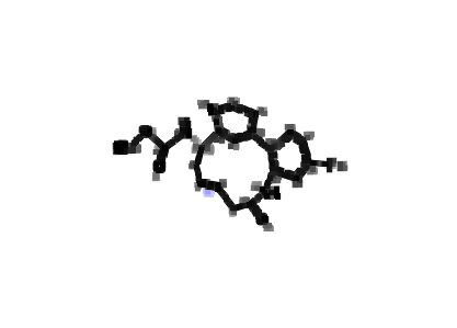 CC(C)(C)OC(=O)N[C@H]1C/C=C/CC(=O)Nc2cc(F)ccc2-c2ccnc1c2